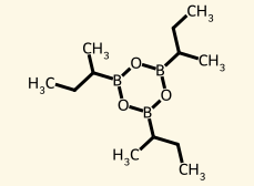 CCC(C)B1OB(C(C)CC)OB(C(C)CC)O1